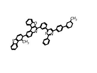 CC1CCC=C(c2ccc(-c3cc(-c4cccc(-c5nc6ccc(C7C=Cc8sc9ccccc9c8C7C)cc6c6c5oc5ccccc56)c4)nc(-c4ccccc4)n3)cc2)C1